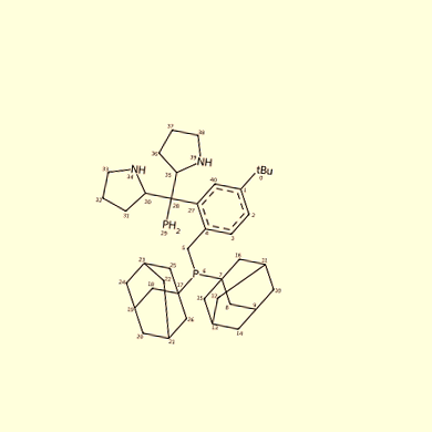 CC(C)(C)c1ccc(CP(C23CC4CC(CC(C4)C2)C3)C23CC4CC(CC(C4)C2)C3)c(C(P)(C2CCCN2)C2CCCN2)c1